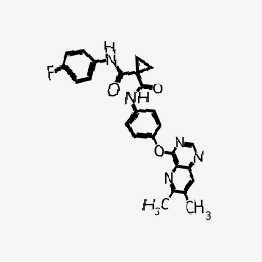 Cc1cc2ncnc(Oc3ccc(NC(=O)C4(C(=O)Nc5ccc(F)cc5)CC4)cc3)c2nc1C